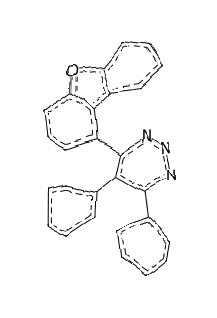 c1ccc(-c2nnnc(-c3cccc4oc5ccccc5c34)c2-c2ccccc2)cc1